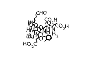 Cc1ccccc1C[C@H](NC(=O)[C@H](CCC(=O)O)NC(=O)[C@@H](N)CC(=O)O)C(=O)N(C(=O)CCC(=O)O)[C@H](C(=O)N[C@@H](CC(C)C)C(=O)NC=CCCC=O)C(C)(C)C